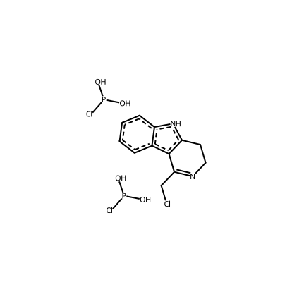 ClCC1=NCCc2[nH]c3ccccc3c21.OP(O)Cl.OP(O)Cl